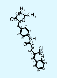 CC(C)OC(Cc1ccc(NC(=O)OCc2cc3ccccc3nc2Cl)cc1)C(=O)O